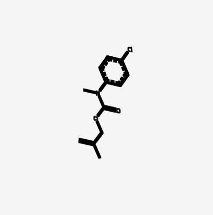 C=C(C)COC(=O)N(C)c1ccc(Cl)cc1